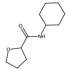 O=C(NC1CCCCC1)C1CCCO1